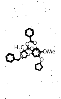 COc1ccc([C@@H]2CN(Cc3ccccc3)C[C@@]2(C)[C@@H](C)OC(=O)c2ccccc2)cc1OC1CCCC1